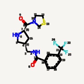 O=C(NC[C@@H]1CN[C@H](C(=O)N2CCSC2)C1)c1cccc(C(F)(F)F)c1